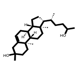 CC(O)CC[C@@H](C)[C@H]1CC[C@H]2[C@@H]3CC=C4CC(C)(O)CC[C@]4(C)[C@H]3CC[C@]12C